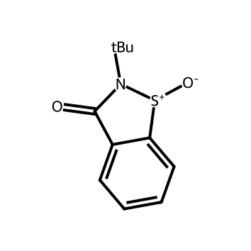 CC(C)(C)n1c(=O)c2ccccc2[s+]1[O-]